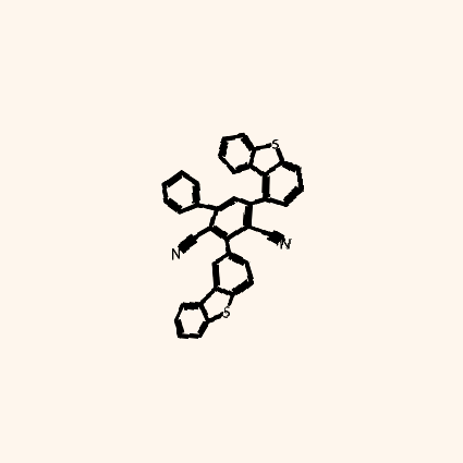 N#Cc1c(-c2ccccc2)cc(-c2cccc3sc4ccccc4c23)c(C#N)c1-c1ccc2sc3ccccc3c2c1